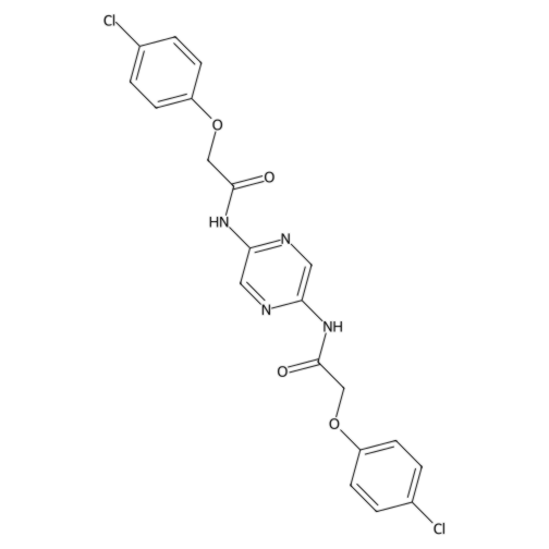 O=C(COc1ccc(Cl)cc1)Nc1cnc(NC(=O)COc2ccc(Cl)cc2)cn1